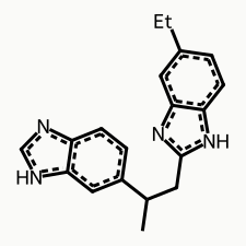 CCc1ccc2[nH]c(CC(C)c3ccc4nc[nH]c4c3)nc2c1